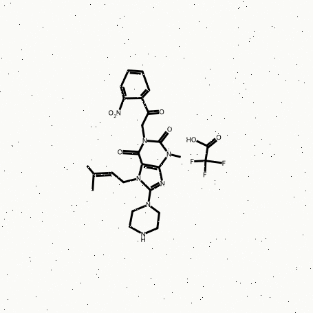 CC(C)=CCn1c(N2CCNCC2)nc2c1c(=O)n(CC(=O)c1ccccc1[N+](=O)[O-])c(=O)n2C.O=C(O)C(F)(F)F